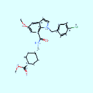 COc1cc(C(=O)NC[C@H]2CC[C@H](C(=O)OC)CC2)c2c(ccn2Cc2ccc(Cl)cc2)c1